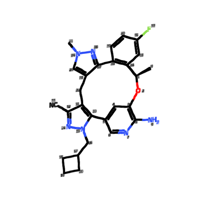 C[C@H]1Oc2cc(cnc2N)-c2c(c(C#N)nn2CC2CCC2)Cc2cn(C)nc2-c2ccc(F)cc21